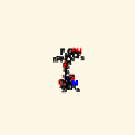 CCCc1cc(C(O)(C(F)(F)F)C(F)(F)F)ccc1OCCCCN1C(=O)NC(C)(C2CC2)C1=O